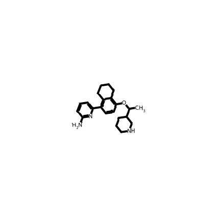 CC(Oc1ccc(-c2cccc(N)n2)c2c1CCCC2)C1CCCNC1